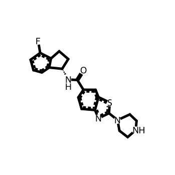 O=C(N[C@H]1CCc2c(F)cccc21)c1ccc2nc(N3CCNCC3)sc2c1